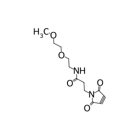 COCCOCCNC(=O)CCN1C(=O)C#CC1=O